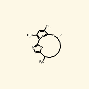 C[C@@H]1CCCCCC(C(F)(F)F)c2nnc(o2)-c2nc(c(C(F)(F)F)cc2N)O1